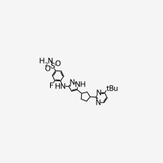 CC(C)(C)c1ccnc(C2CCC(c3cc(Nc4ccc(S(N)(=O)=O)cc4F)n[nH]3)C2)n1